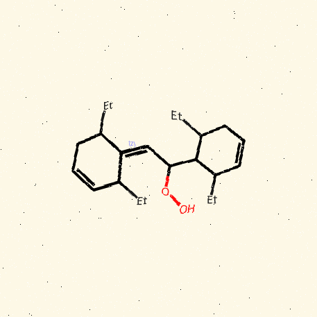 CCC1C=CCC(CC)/C1=C/C(OO)C1C(CC)C=CCC1CC